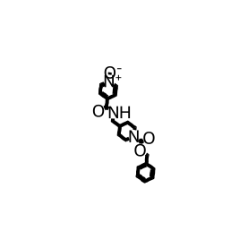 O=C(NCC1CCN(C(=O)OCc2ccccc2)CC1)c1cc[n+]([O-])cc1